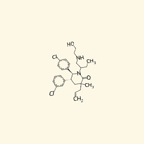 C=CCC1(C)C[C@H](c2cccc(Cl)c2)[C@@H](c2ccc(Cl)cc2)N(C(CC)CNCCO)C1=O